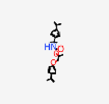 C=C(C)c1ccc(OCC(C)OC(=O)NC(C)(C)c2ccc(C(=C)C)cc2)cc1